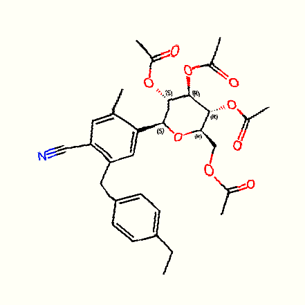 CCc1ccc(Cc2cc([C@@H]3O[C@H](COC(C)=O)[C@@H](OC(C)=O)[C@H](OC(C)=O)[C@H]3OC(C)=O)c(C)cc2C#N)cc1